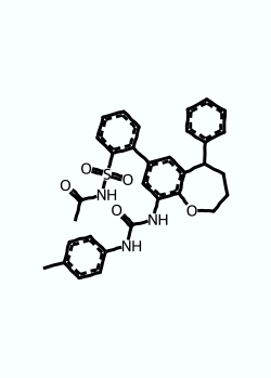 CC(=O)NS(=O)(=O)c1ccccc1-c1cc(NC(=O)Nc2ccc(C)cc2)c2c(c1)C(c1ccccc1)CCCO2